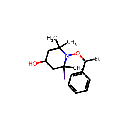 CCC(ON1C(C)(C)CC(O)CC1(C)I)c1ccccc1